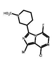 O=C(O)N1CCCC(c2nc(Br)c3c(Cl)ncc(F)n23)C1